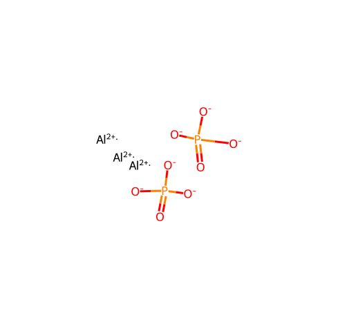 O=P([O-])([O-])[O-].O=P([O-])([O-])[O-].[Al+2].[Al+2].[Al+2]